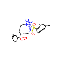 Cc1ccc(S(=O)(=O)N2CCC(C(=O)c3ccccc3)CCCNN2)cc1